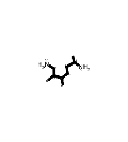 CC(N)CCC(C)C(C)CN